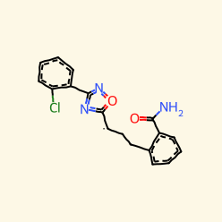 NC(=O)c1ccccc1CC[CH]c1nc(-c2ccccc2Cl)no1